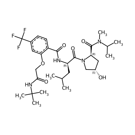 CC(C)C[C@@H](NC(=O)c1ccc(C(F)(F)F)cc1OCC(=O)NC(C)(C)C)C(=O)N1C[C@@H](O)C[C@@H]1C(=O)N(C)C(C)C